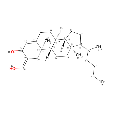 CC(C)CCCC(C)[C@H]1CC[C@H]2[C@@H]3CCC4=CC(=O)C(=CO)C[C@]4(C)[C@H]3CC[C@]12C